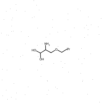 CC(C)COCC(N)C(O)O